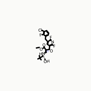 CCOC(=O)/C(=C\N[C@H](CO)C(C)(C)C)C(=O)c1cc(Cc2cccc(Cl)c2F)c(F)nc1F